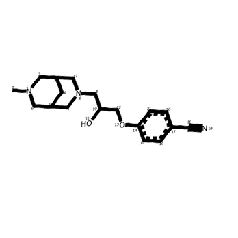 CN1CC2CC(C1)CN(CC(O)COc1ccc(C#N)cc1)C2